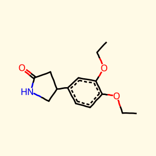 CCOc1ccc(C2CNC(=O)C2)cc1OCC